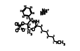 CCCCCCCC(=O)NC(c1ccccc1)C(C)OP(=O)([O-])[O-].[Na+].[Na+]